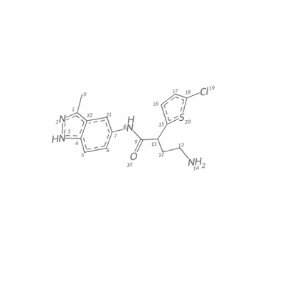 Cc1n[nH]c2ccc(NC(=O)C(CCN)c3ccc(Cl)s3)cc12